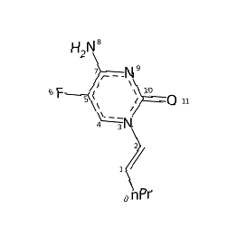 CCC/C=C/n1cc(F)c(N)nc1=O